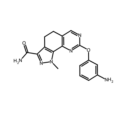 Cn1nc(C(N)=O)c2c1-c1nc(Oc3cccc(N)c3)ncc1CC2